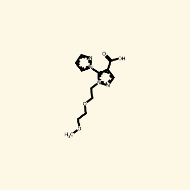 COCCOCCn1ncc(C(=O)O)c1-n1cccn1